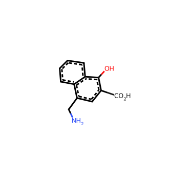 NCc1cc(C(=O)O)c(O)c2ccccc12